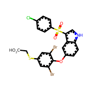 O=C(O)CSc1cc(Br)c(Oc2ccc3[nH]cc(S(=O)(=O)c4ccc(Cl)cc4)c3c2)c(Br)c1